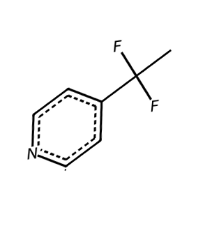 CC(F)(F)c1c[c]ncc1